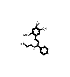 COc1cc(O)c(O)cc1/C=C/C(SCCN)c1ccccc1